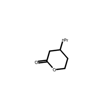 CCCC1CCOC(=O)C1